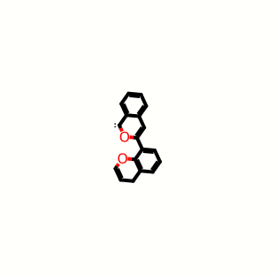 [C]1OC(c2cccc3c2OC=CC3)=Cc2ccccc21